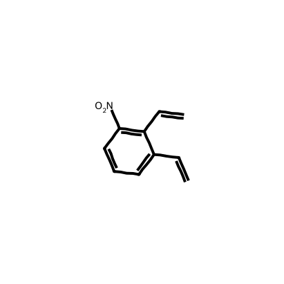 C=Cc1cccc([N+](=O)[O-])c1C=C